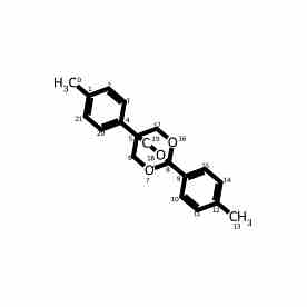 Cc1ccc(C23COC(c4ccc(C)cc4)(OC2)OC3)cc1